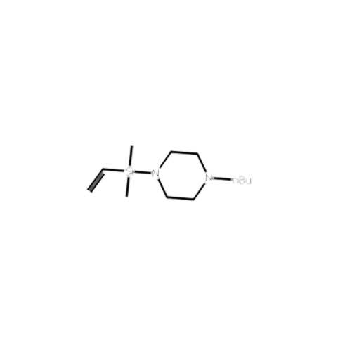 C=C[Si](C)(C)N1CCN(CCCC)CC1